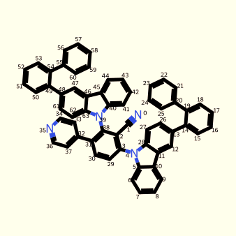 N#Cc1c(-n2c3ccccc3c3cc(-c4ccccc4-c4ccccc4)ccc32)ccc(-c2ccncc2)c1-n1c2ccccc2c2cc(-c3ccccc3-c3ccccc3)ccc21